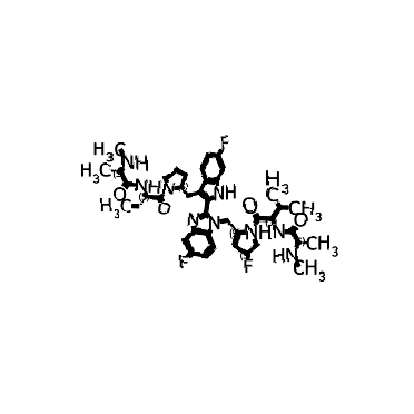 CC[C@H](NC(=O)[C@H](C)NC)C(=O)N1CCC[C@H]1Cc1c(-c2nc3cc(F)ccc3n2C[C@@H]2C[C@H](F)CN2C(=O)[C@@H](NC(=O)[C@H](C)NC)C(C)C)[nH]c2cc(F)ccc12